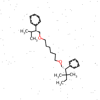 CCC(C)(C)[C@H](COCCCCCCOC[C@H](c1ccccc1)C(C)C)c1ccccc1